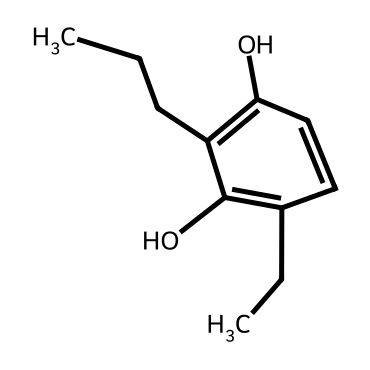 CCCc1c(O)ccc(CC)c1O